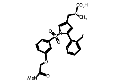 CNC(=O)COc1cccc(S(=O)(=O)n2cc(CN(C)C(=O)O)cc2-c2ccccc2F)c1